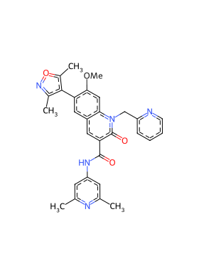 COc1cc2c(cc1-c1c(C)noc1C)cc(C(=O)Nc1cc(C)nc(C)c1)c(=O)n2Cc1ccccn1